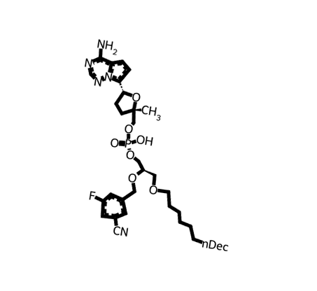 CCCCCCCCCCCCCCCCOC[C@H](COP(=O)(O)OC[C@]1(C)CC[C@H](c2ccc3c(N)ncnn23)O1)OCc1cc(F)cc(C#N)c1